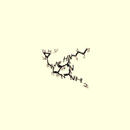 CCCCNc1nc(N)nc2cn(C[C@H]3C[C@@H]3C)nc12